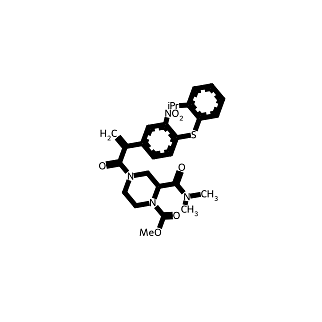 C=C(C(=O)N1CCN(C(=O)OC)C(C(=O)N(C)C)C1)c1ccc(Sc2ccccc2C(C)C)c([N+](=O)[O-])c1